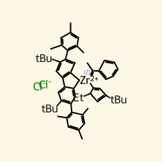 CCC1C=C(C(C)(C)C)C=[C]1/[Zr+2](=[C](/C)c1ccccc1)[CH]1c2cc(-c3c(C)cc(C)cc3C)c(C(C)(C)C)cc2-c2cc(C(C)(C)C)c(-c3c(C)cc(C)cc3C)cc21.[Cl-].[Cl-]